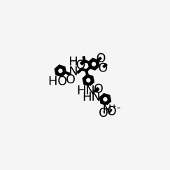 COc1cc(C(C)=O)c(C(CCNC(=O)c2ccccc2O)c2ccc(NC(=O)Nc3cccc([N+](=O)[O-])c3)cc2)cc1OC